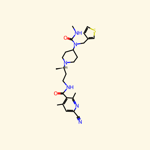 CNC(=O)N(Cc1ccsc1)C1CCN([C@H](C)CCNC(=O)c2c(C)cc(C#N)nc2C)CC1